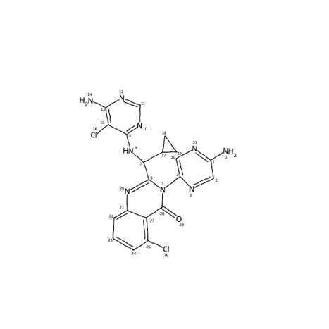 Nc1cnc(-n2c(C(Nc3ncnc(N)c3Cl)C3CC3)nc3cccc(Cl)c3c2=O)cn1